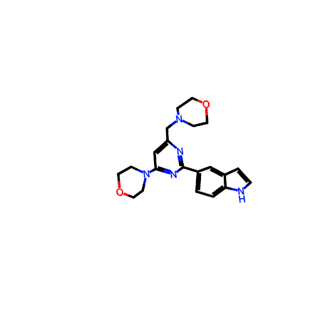 c1cc2cc(-c3nc(CN4CCOCC4)cc(N4CCOCC4)n3)ccc2[nH]1